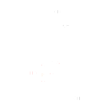 Cc1ccc(OP(=O)(O)OC(=O)c2ccc(CC(C)C)cc2)cc1